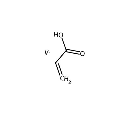 C=CC(=O)O.[V]